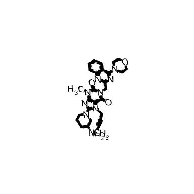 CC#CCn1c(N2CCCC(N)C2)nc2c1c(=O)n(Cc1nc(N3CCOCC3)c3ccccc3n1)c(=O)n2C